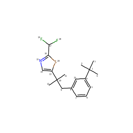 CC(C)(C)c1cccc(CC(C)(C)c2cnc(C(F)F)s2)c1